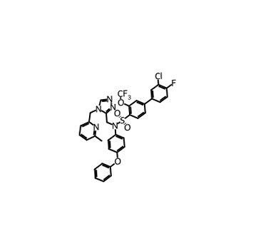 Cc1cccc(Cn2cnnc2CN(c2ccc(Oc3ccccc3)cc2)S(=O)(=O)c2ccc(-c3ccc(F)c(Cl)c3)cc2OC(F)(F)F)n1